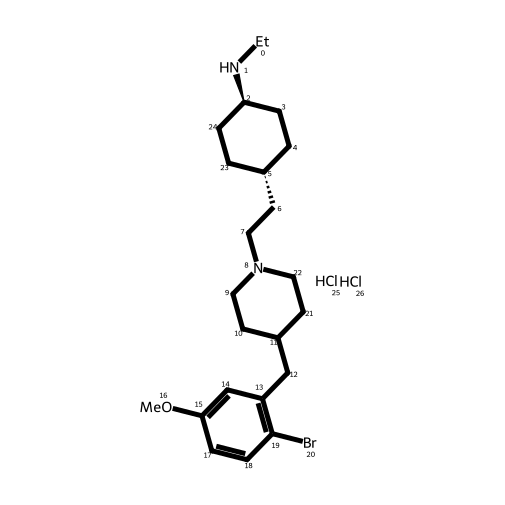 CCN[C@H]1CC[C@H](CCN2CCC(Cc3cc(OC)ccc3Br)CC2)CC1.Cl.Cl